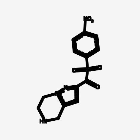 O=C(c1cc2n(n1)CCNC2)S(=O)(=O)c1ccc([N+](=O)[O-])cc1